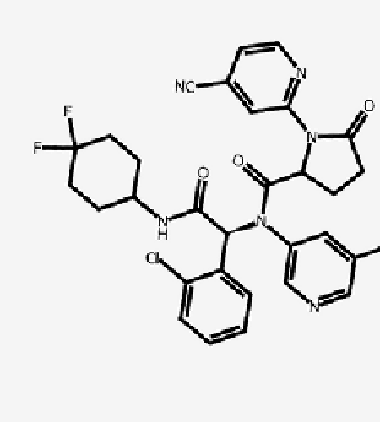 N#Cc1ccnc(N2C(=O)CCC2C(=O)N(c2cncc(F)c2)[C@H](C(=O)NC2CCC(F)(F)CC2)c2ccccc2Cl)c1